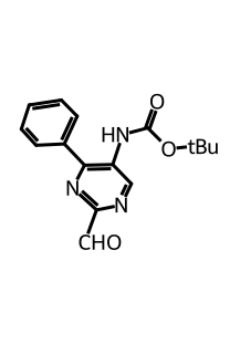 CC(C)(C)OC(=O)Nc1cnc(C=O)nc1-c1ccccc1